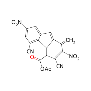 C=c1c([N+](=O)[O-])c(C#N)c(C(=O)OC(C)=O)c2c1=Cc1cc([N+](=O)[O-])cc(C#N)c1-2